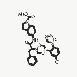 COC(=O)N1CCc2cc(NC(=O)C(Cc3ccccc3)N3CON(c4cc(Cl)ccc4-n4cnnn4)CO3)ccc21